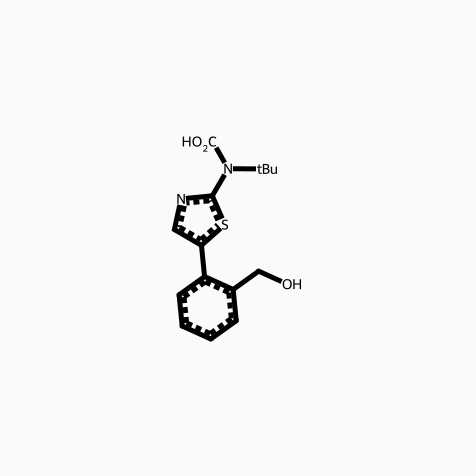 CC(C)(C)N(C(=O)O)c1ncc(-c2ccccc2CO)s1